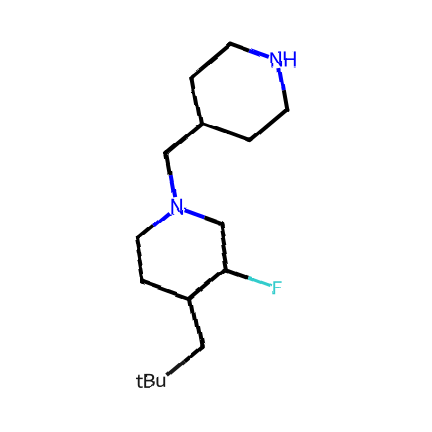 CC(C)(C)CC1CCN(CC2CCNCC2)CC1F